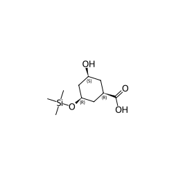 C[Si](C)(C)O[C@H]1C[C@@H](O)C[C@@H](C(=O)O)C1